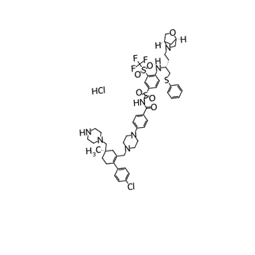 C[C@@]1(CN2CCNCC2)CCC(c2ccc(Cl)cc2)=C(CN2CCN(c3ccc(C(=O)NS(=O)(=O)c4ccc(N[C@H](CCN5C[C@H]6C[C@@H]5CO6)CSc5ccccc5)c(S(=O)(=O)C(F)(F)F)c4)cc3)CC2)C1.Cl